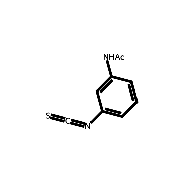 CC(=O)Nc1cccc(N=C=S)c1